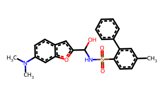 Cc1ccc(S(=O)(=O)NC(O)c2cc3ccc(N(C)C)cc3o2)c(-c2ccccc2)c1